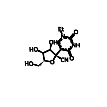 CCn1cc([C@]2(C#N)O[C@H](CO)[C@@H](O)[C@H]2O)c(=O)[nH]c1=O